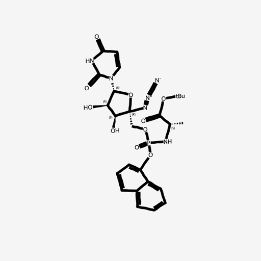 C[C@H](NP(=O)(OC[C@@]1(N=[N+]=[N-])O[C@@H](n2ccc(=O)[nH]c2=O)[C@H](O)[C@@H]1O)Oc1cccc2ccccc12)C(=O)OC(C)(C)C